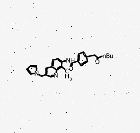 CCCCC(=O)Cc1ccc(C(=O)Nc2ccc3cc(Cn4cccc4)cnc3c2C)cc1